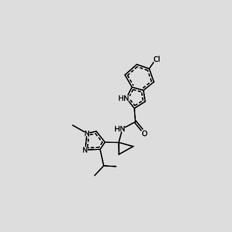 CC(C)c1nn(C)cc1C1(NC(=O)c2cc3cc(Cl)ccc3[nH]2)CC1